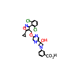 O=C(O)c1cccc(N2CC(O)(c3cnc(OCc4c(-c5c(Cl)cccc5Cl)noc4C4CC4)cn3)C2)c1